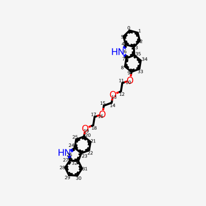 c1ccc2c(c1)[nH]c1cc(OCCOCCOCCOc3ccc4c(c3)[nH]c3ccccc34)ccc12